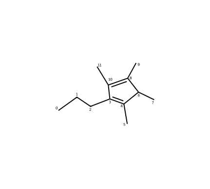 CCCC1=C(C)C(C)C(C)=C1C